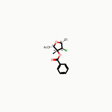 CC[C@H]1O[C@@H](OC(C)=O)[C@@](C)(OC(=O)c2ccccc2)[C@@H]1F